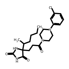 CCCCC(C)C1(CCC(=O)N2CCN(c3cccc(Cl)c3)CC2)NC(=O)NC1=O